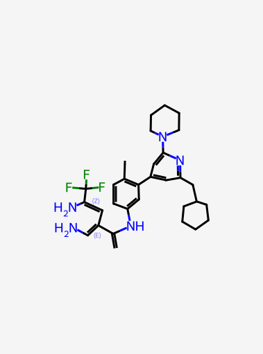 C=C(Nc1ccc(C)c(-c2cc(CC3CCCCC3)nc(N3CCCCC3)c2)c1)C(/C=C(\N)C(F)(F)F)=C/N